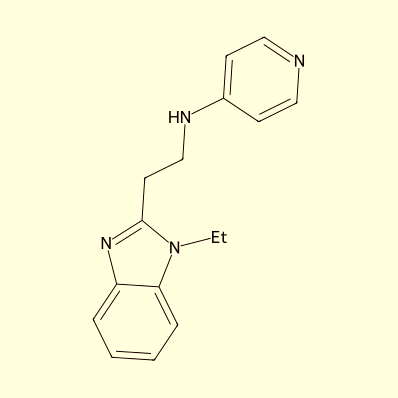 CCn1c(CCNc2ccncc2)nc2ccccc21